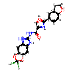 O=C(Nc1nc2cc3c(cc2[nH]1)OC(F)(F)O3)c1coc(-c2ccc3c(c2)CCO3)n1